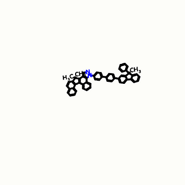 CC1(C)c2ccc3ccccc3c2-c2c1c1cnn(-c3ccc(-c4ccc(-c5ccc6c(c5)C(C)(c5ccccc5)c5ccccc5-6)cc4)cc3)c1c1ccccc21